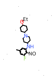 CCO[C@H]1CC[C@H](N2CCC(Nc3cc(C)cc(F)c3N=O)CC2)CC1